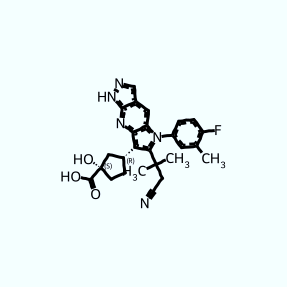 Cc1cc(-n2c(C(C)(C)CC#N)c([C@@H]3CC[C@@](O)(C(=O)O)C3)c3nc4[nH]ncc4cc32)ccc1F